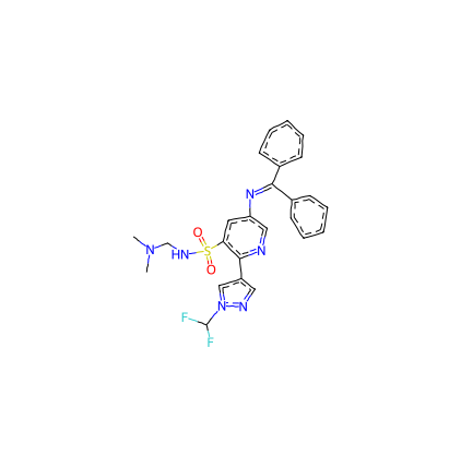 CN(C)CNS(=O)(=O)c1cc(N=C(c2ccccc2)c2ccccc2)cnc1-c1cnn(C(F)F)c1